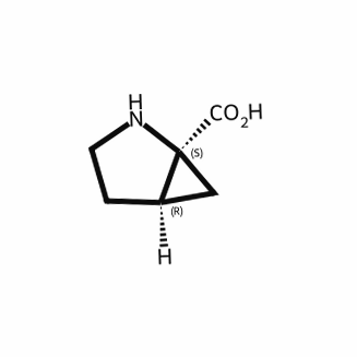 O=C(O)[C@]12C[C@H]1CCN2